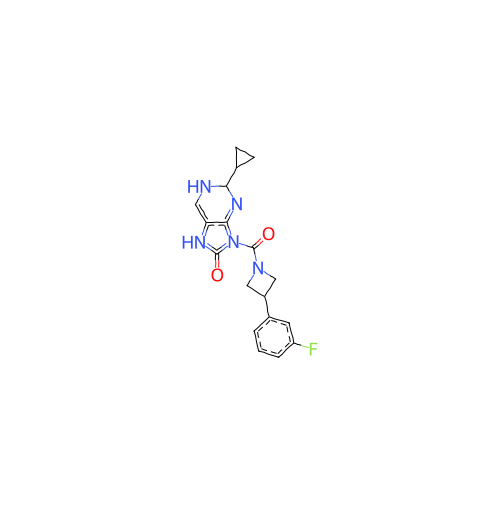 O=C(N1CC(c2cccc(F)c2)C1)n1c(=O)[nH]c2c1=NC(C1CC1)NC=2